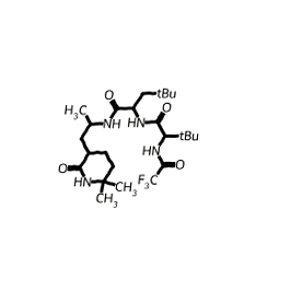 CC(CC1CCC(C)(C)NC1=O)NC(=O)C(CC(C)(C)C)NC(=O)C(NC(=O)C(F)(F)F)C(C)(C)C